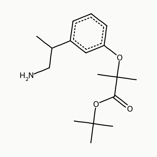 CC(CN)c1cccc(OC(C)(C)C(=O)OC(C)(C)C)c1